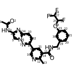 CC(=O)Nc1cn2nc(-c3cnc(C)c(C(=O)NCc4cccc(OC(F)C(F)F)c4)c3)ccc2n1